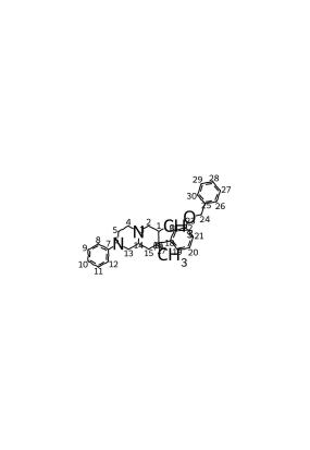 CC1CN2CCN(c3ccccc3)CC2C[C@@]1(C)c1cccc(OCc2ccccc2)c1